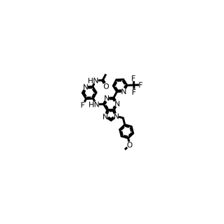 COc1ccc(Cn2cnc3c(Nc4cc(NC(C)=O)ncc4F)nc(-c4cccc(C(F)(F)F)n4)nc32)cc1